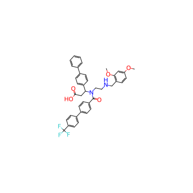 COc1ccc(CNCCN(C(=O)c2ccc(-c3ccc(C(F)(F)F)cc3)cc2)C(CC(=O)O)c2ccc(-c3ccccc3)cc2)c(OC)c1